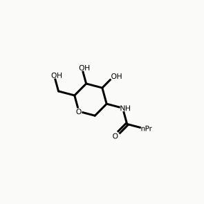 CCCC(=O)NC1COC(CO)C(O)C1O